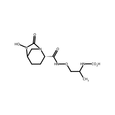 CC(CONC(=O)[C@@H]1CCC2CN1C(=O)N2O)NC(=O)O